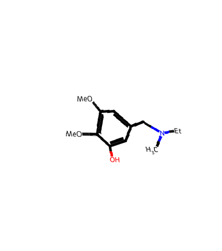 CCN(C)Cc1cc(O)c(OC)c(OC)c1